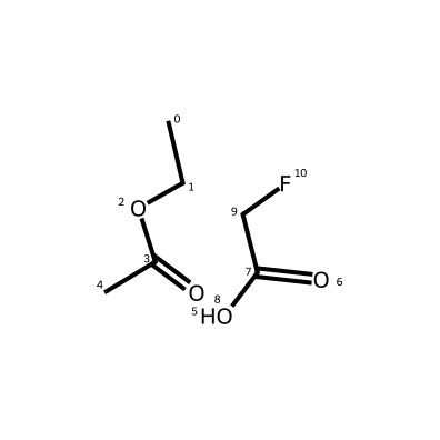 CCOC(C)=O.O=C(O)CF